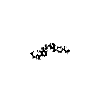 CC(c1ccnc(Nc2nc3ccc(-c4cnn(CC5CC5)c4)c(Cl)c3[nH]2)c1)N1CCN(C(=O)CC(F)(F)F)CC1